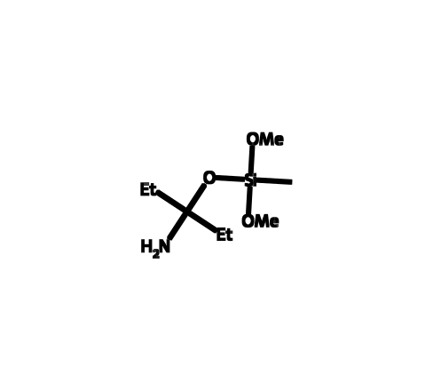 CCC(N)(CC)O[Si](C)(OC)OC